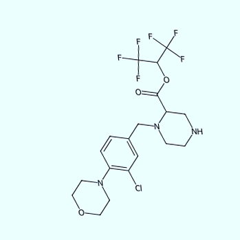 O=C(OC(C(F)(F)F)C(F)(F)F)C1CNCCN1Cc1ccc(N2CCOCC2)c(Cl)c1